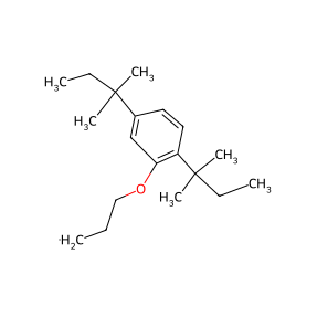 [CH2]CCOc1cc(C(C)(C)CC)ccc1C(C)(C)CC